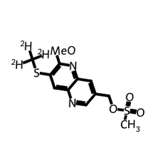 [2H]C([2H])([2H])Sc1cc2ncc(COS(C)(=O)=O)cc2nc1OC